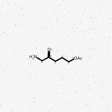 CC(=O)OCCCC(=O)CN